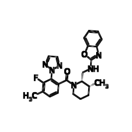 Cc1ccc(C(=O)N2CCC[C@@H](C)[C@H]2CNc2nc3ccccc3o2)c(-n2nccn2)c1F